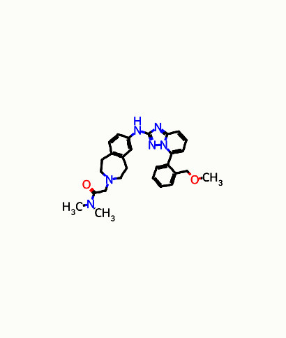 COCc1ccccc1-c1cccc2nc(Nc3ccc4c(c3)CCN(CC(=O)N(C)C)CC4)nn12